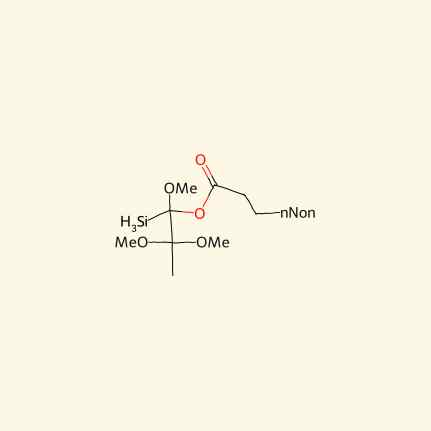 CCCCCCCCCCCC(=O)OC([SiH3])(OC)C(C)(OC)OC